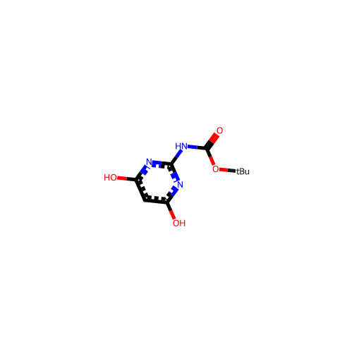 CC(C)(C)OC(=O)Nc1nc(O)cc(O)n1